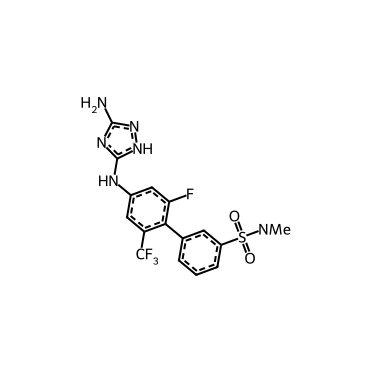 CNS(=O)(=O)c1cccc(-c2c(F)cc(Nc3nc(N)n[nH]3)cc2C(F)(F)F)c1